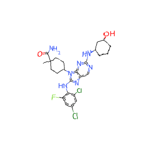 CC1(C(N)=O)CCC(n2c(Nc3c(F)cc(Cl)cc3Cl)nc3cnc(N[C@@H]4CCC[C@H](O)C4)nc32)CC1